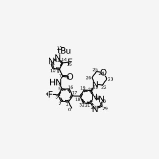 Cc1cc(F)c(NC(=O)c2cnn(C(C)(C)C)c2F)cc1-c1cc(N2CCOCC2)n2ncnc2c1